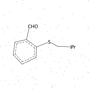 CC(C)CSc1ccccc1C=O